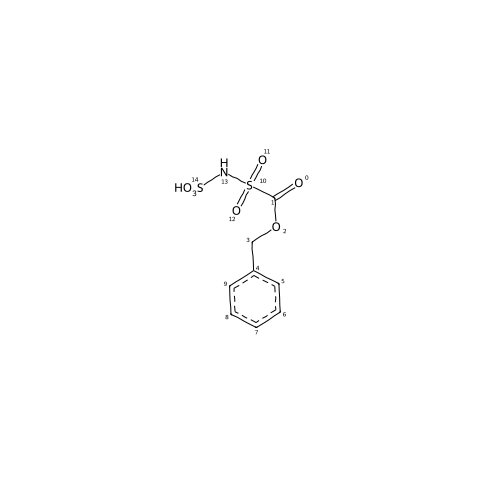 O=C(OCc1ccccc1)S(=O)(=O)NS(=O)(=O)O